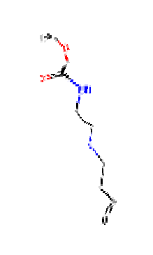 C=CCCNCCNC(=O)OC(C)(C)C